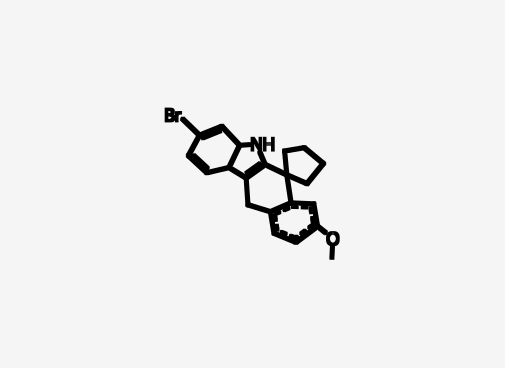 COc1ccc2c(c1)C1(CCCC1)C1=C(C2)C2C=CC(Br)=CC2N1